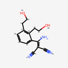 N#CC(C#N)=C(N)c1cccc(CCO)c1CCO